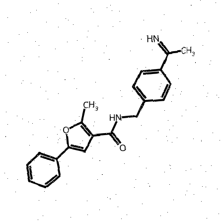 CC(=N)c1ccc(CNC(=O)c2cc(-c3ccccc3)oc2C)cc1